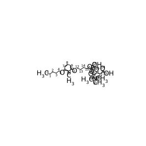 CCCCCOc1cccc(OCCCCOP(=O)(O)OC(CC(=O)O)C([O-])[N+](C)(C)C)c1C